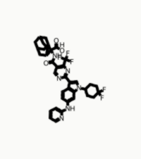 O=C(NC1(C(=O)O)C2CC3CC(C2)CC1C3)c1cnc(-c2cn(C3CCC(F)(F)CC3)c3cc(Nc4ccccn4)ccc23)nc1C(F)(F)F